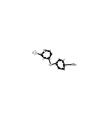 CC(C)(C)c1ccc(Oc2ccnc(C(F)(F)F)c2)cc1